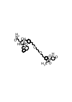 C[C@@H](OCc1ccc(CCCOCCCCOCCCc2ccc3c(c2)n(C)c(=O)n3C2CCC(=O)NC2=O)cc1)[C@H](CCC(N)=O)NC(=O)[C@@H]1Cc2cccc3c2N1C(=O)CCC3